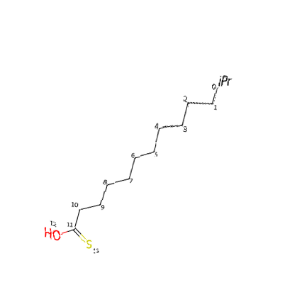 CC(C)CCCCCCCCCCC(O)=S